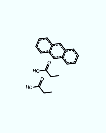 CCC(=O)O.CCC(=O)O.c1ccc2cc3ccccc3cc2c1